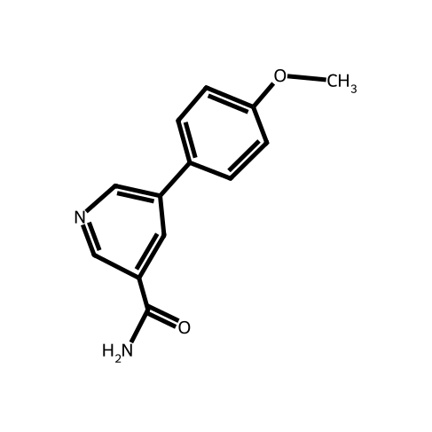 COc1ccc(-c2cncc(C(N)=O)c2)cc1